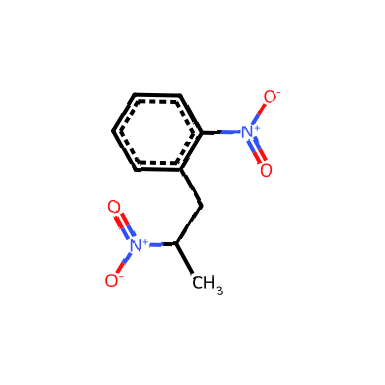 CC(Cc1ccccc1[N+](=O)[O-])[N+](=O)[O-]